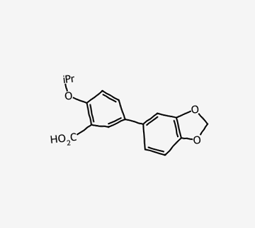 CC(C)Oc1ccc(-c2ccc3c(c2)OCO3)cc1C(=O)O